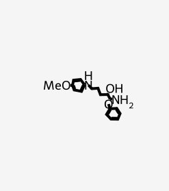 COc1ccc(NCCCC(O)C(N)Oc2ccccc2)cc1